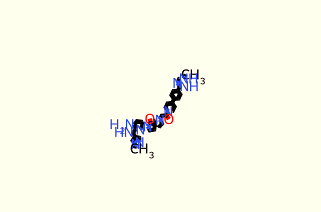 CN/C=N\C(=N)c1ccc(C2=CCN(C(=O)CN3CC[C@]4(CCN(c5ccc(N)c(C(=N)c6cnn(C)c6)n5)C4=O)C3)CC2)cc1